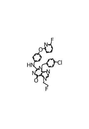 O=c1nc(Nc2ccc(Oc3cccc(F)n3)cc2)n(Cc2ccc(Cl)cc2)c2ncn(CCF)c12